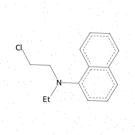 CCN(CCCl)c1cccc2ccccc12